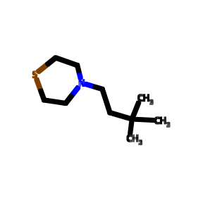 CC(C)(C)CCN1CCSCC1